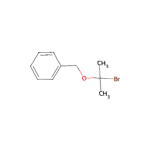 CC(C)(Br)OCc1ccccc1